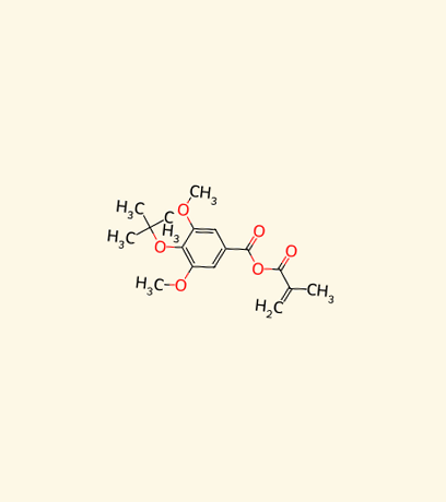 C=C(C)C(=O)OC(=O)c1cc(OC)c(OC(C)(C)C)c(OC)c1